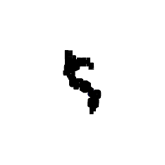 CC(OCCOC(C)Oc1ccc(N)cc1N)Oc1ccc(/C=C/C(=O)c2ccc(F)cc2)cc1